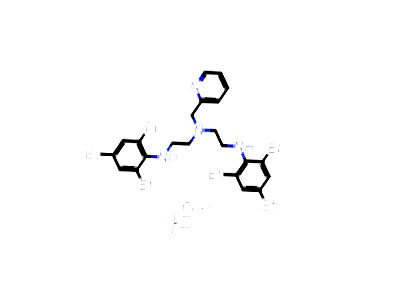 CCc1cc(CC)c(NCCN(CCNc2c(CC)cc(CC)cc2CC)Cc2ccccn2)c(CC)c1.[Br-].[Br-].[Co+2]